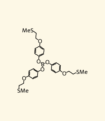 CSCCOc1ccc(OB(Oc2ccc(OCCSC)cc2)Oc2ccc(OCCSC)cc2)cc1